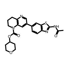 CC(=O)Nc1nc2ccc(-c3cnc4c(c3)N(C(=O)OC3CCOCC3)CCC4)cc2s1